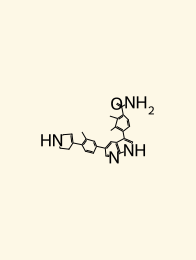 Cc1cc(-c2cnc3[nH]cc(-c4ccc(C(N)=O)c(C)c4C)c3c2)ccc1C1=CCNCC1